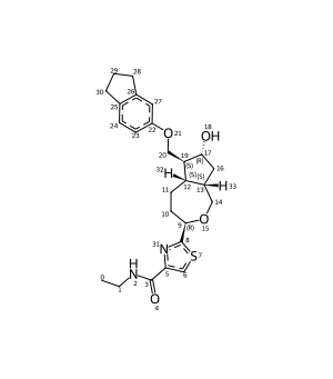 CCNC(=O)c1csc([C@H]2CC[C@H]3[C@@H](CO2)C[C@@H](O)[C@@H]3COc2ccc3c(c2)CCC3)n1